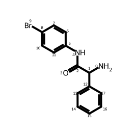 NC(C(=O)Nc1ccc(Br)cc1)c1ccccc1